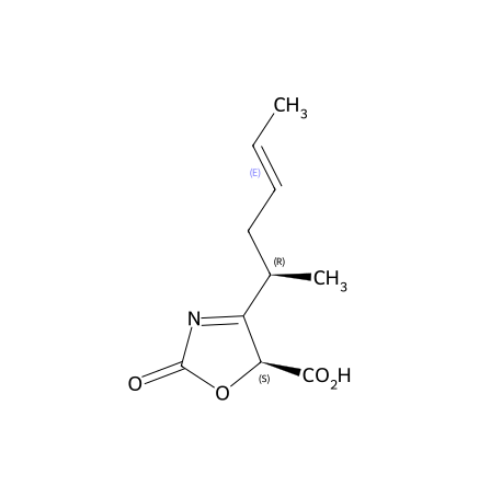 C/C=C/C[C@@H](C)C1=NC(=O)O[C@@H]1C(=O)O